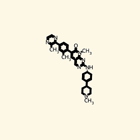 Cc1cc(-c2nccnc2C)ccc1-c1cc2cnc(N[C@H]3C=CC(C4CCN(C)CC4)=CC3)nc2n(C)c1=O